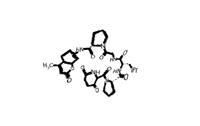 Cc1cc(=O)oc2cc(NC(=O)[C@@H]3CCCN3C(=O)CNC(=O)[C@H](CC(C)C)NC(=O)[C@@H]3CCCN3C(=O)C3NC(=O)CCC3=O)ccc12